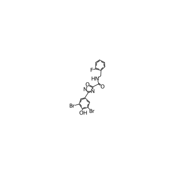 O=C(NCc1ccccc1F)c1nc(-c2cc(Br)c(O)c(Br)c2)no1